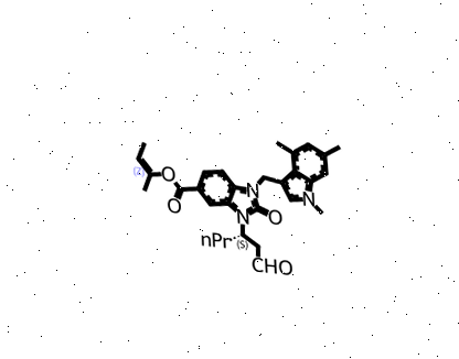 C/C=C(/C)OC(=O)c1ccc2c(c1)n([C@H](CC=O)CCC)c(=O)n2Cc1cn(C)c2cc(C)cc(C)c12